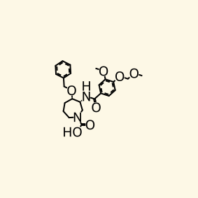 COCOc1ccc(C(=O)N[C@@H]2CN(C(=O)O)CCC[C@H]2OCc2ccccc2)cc1OC